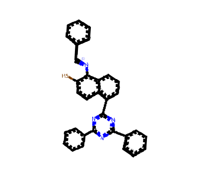 Sc1ccc2c(-c3nc(-c4ccccc4)nc(-c4ccccc4)n3)cccc2c1/N=C/c1ccccc1